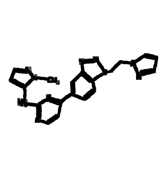 Cn1nccc1Nc1nccc(-c2ccc3c(c2)nnn3CCn2cccn2)n1